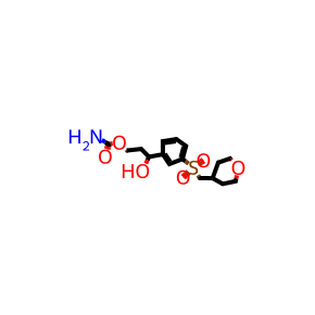 NC(=O)OCCC(O)c1cccc(S(=O)(=O)CC2CCOCC2)c1